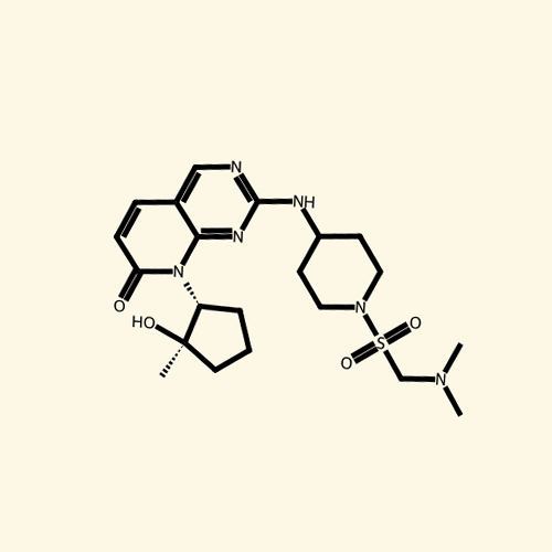 CN(C)CS(=O)(=O)N1CCC(Nc2ncc3ccc(=O)n([C@@H]4CCC[C@@]4(C)O)c3n2)CC1